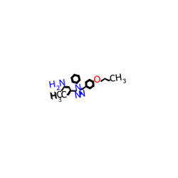 C#C/C(N)=C\C(=C/C)c1nnc(-c2ccc(OCCCC)cc2)n1-c1ccccc1